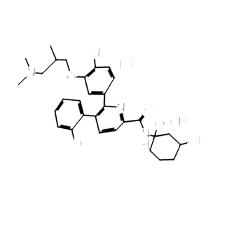 CCc1ccccc1-c1ccc(C(=O)NC2(C(=O)O)CCCC(O)C2)nc1-c1ccc(Cl)c(OCC(C)CN(C)C)c1.Cl